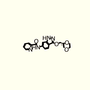 O=C(Nc1ccc2c(OC[C@@H]3COCCO3)n[nH]c2c1)c1ccccn1